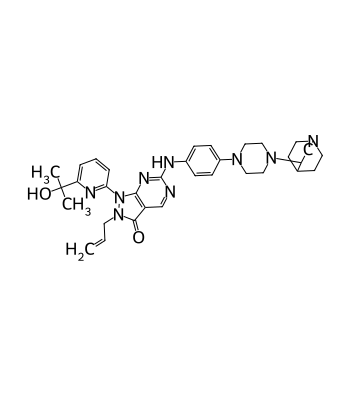 C=CCn1c(=O)c2cnc(Nc3ccc(N4CCN(C5CN6CCC5CC6)CC4)cc3)nc2n1-c1cccc(C(C)(C)O)n1